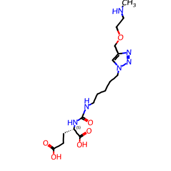 CNCCOCc1cn(CCCCCNC(=O)N[C@@H](CCC(=O)O)C(=O)O)nn1